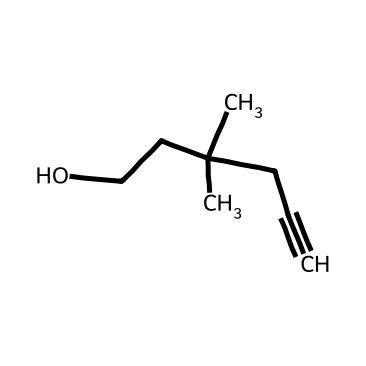 C#CCC(C)(C)CCO